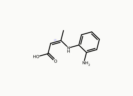 C/C(=C/C(=O)O)Nc1ccccc1N